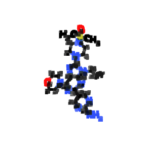 C=S(C)(=O)N1CCN(c2nc3c(N4CCOCC4)nc(-c4cnc(N)nc4)nc3n2CC(C)C)CC1